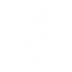 CCn1c(=O)c2cc3c(=O)n(C(C)(C)C)c(=O)c3cc2c1=O